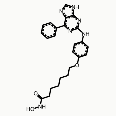 O=C(CCCCCCOc1ccc(Nc2nc(-c3ccccc3)c3nc[nH]c3n2)cc1)NO